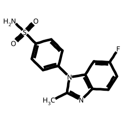 Cc1nc2ccc(F)cc2n1-c1ccc(S(N)(=O)=O)cc1